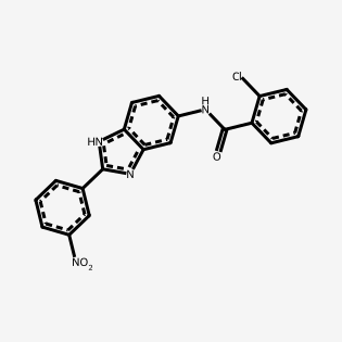 O=C(Nc1ccc2[nH]c(-c3cccc([N+](=O)[O-])c3)nc2c1)c1ccccc1Cl